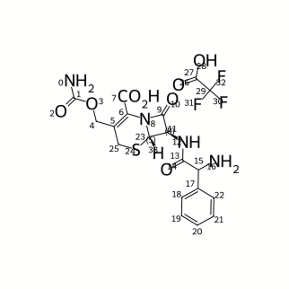 NC(=O)OCC1=C(C(=O)O)N2C(=O)[C@@H](NC(=O)C(N)c3ccccc3)[C@@H]2SC1.O=C(O)C(F)(F)F